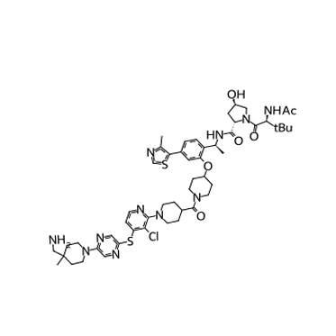 CC(=O)N[C@H](C(=O)N1C[C@H](O)C[C@H]1C(=O)N[C@@H](C)c1ccc(-c2scnc2C)cc1OC1CCN(C(=O)C2CCN(c3nccc(Sc4cnc(N5CCC(C)(CN)CC5)cn4)c3Cl)CC2)CC1)C(C)(C)C